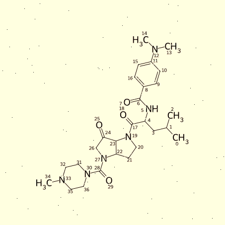 CC(C)CC(NC(=O)c1ccc(N(C)C)cc1)C(=O)N1CCC2C1C(=O)CN2C(=O)N1CCN(C)CC1